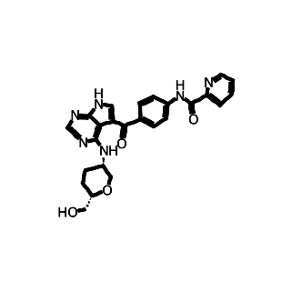 O=C(Nc1ccc(C(=O)c2c[nH]c3ncnc(N[C@H]4CC[C@@H](CO)OC4)c23)cc1)c1ccccn1